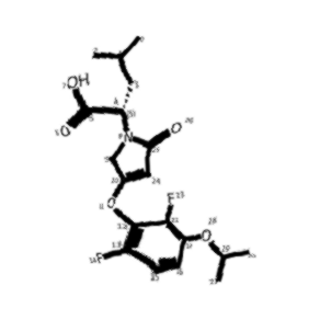 CC(C)C[C@@H](C(=O)O)N1CC(Oc2c(F)ccc(OC(C)C)c2F)=CC1=O